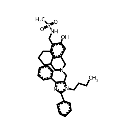 CCCCn1c(-c2ccccc2)nc(-c2ccccc2)c1CN(Cc1ccc(CNS(C)(=O)=O)c(O)c1)CC1CCCCC1